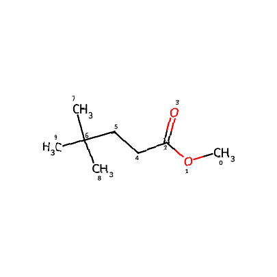 COC(=O)CCC(C)(C)C